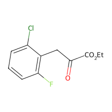 CCOC(=O)C(=O)Cc1c(F)cccc1Cl